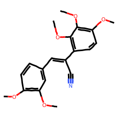 COc1ccc(C=C(C#N)c2ccc(OC)c(OC)c2OC)cc1OC